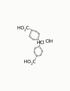 Cl.Cl.O=C(O)c1ccc(Cc2ccc(C(=O)O)cc2)cc1